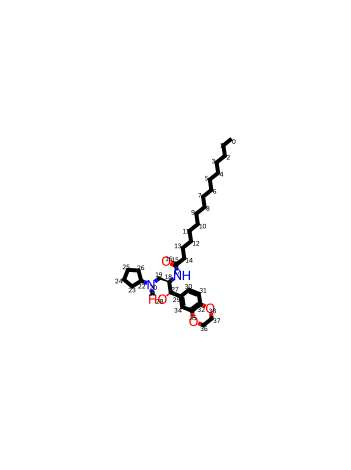 CCCCCCCCCCCCCCCC(=O)N[C@H](CN(C)C1CCCC1)[C@@H](O)c1ccc2c(c1)OCCO2